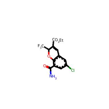 CCOC(=O)C1=Cc2cc(Cl)cc(C(N)=O)c2OC1C(F)(F)F